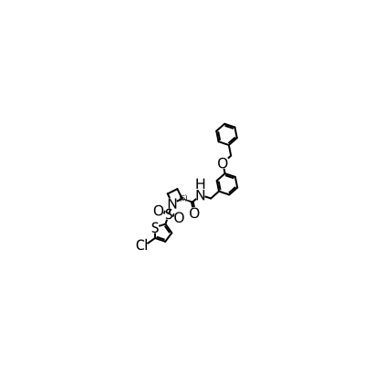 O=C(NCc1cccc(OCc2ccccc2)c1)[C@@H]1CCN1S(=O)(=O)c1ccc(Cl)s1